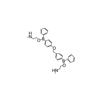 CNCCOB(c1ccccc1)c1ccc(COc2ccc(B(OCCNC)c3ccccc3)cc2)cc1